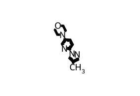 Cc1cnn(-c2ccc(N3CCOCC3)cn2)c1